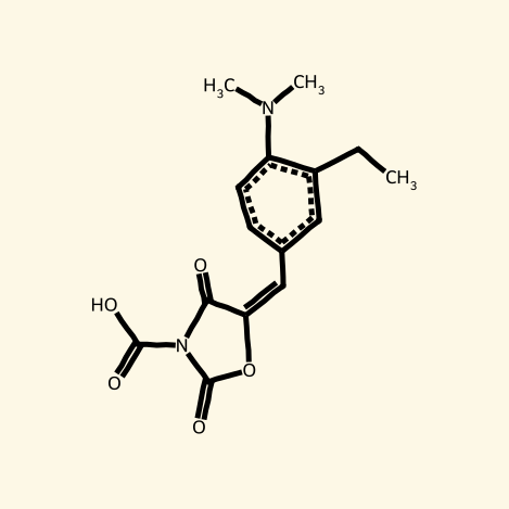 CCc1cc(/C=C2/OC(=O)N(C(=O)O)C2=O)ccc1N(C)C